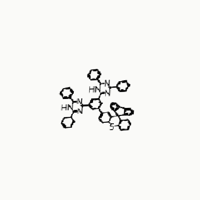 C1=CCC(C2=NC(c3cc(C4=CCC5Sc6ccccc6C6(C5=C4)c4ccccc4-c4ccccc46)cc(C4=NC(c5ccccc5)=NC(c5ccccc5)N4)c3)=NC(c3ccccc3)N2)C=C1